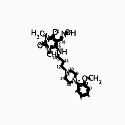 COc1ccccc1N1CCN(CCCNc2c(C=NO)c(=O)n(C)c(=O)n2C)CC1